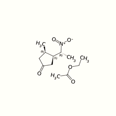 CCOC(C)=O.C[C@@H]1CC(=O)C[C@@H]1[C@@H](C)[N+](=O)[O-]